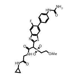 COCCS(=O)(=O)C(C(=O)NCC(=O)NC1CC1)c1nc2cc(F)c(-c3ccc(NC(N)=O)cc3)cc2s1